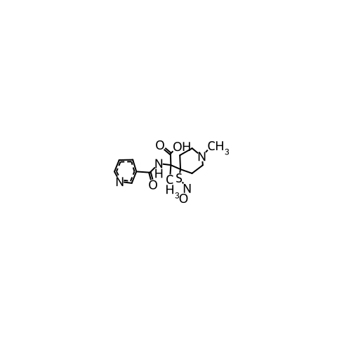 CN1CCC(SN=O)(C(C)(NC(=O)c2cccnc2)C(=O)O)CC1